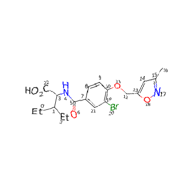 CCC(CC)C(NC(=O)c1ccc(OCc2cc(C)no2)c(Br)c1)C(=O)O